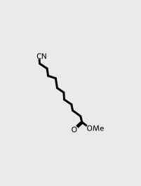 COC(=O)CCCCCCCCCCC#N